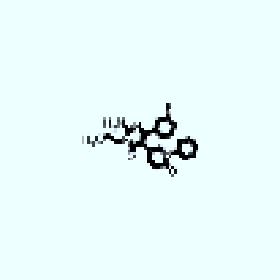 C=CCn1c(N)nc(-c2cccc(F)c2)c(-c2ccc(=O)n(-c3ccccc3)c2)c1=O